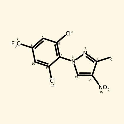 Cc1nn(-c2c(Cl)cc(C(F)(F)F)cc2Cl)cc1[N+](=O)[O-]